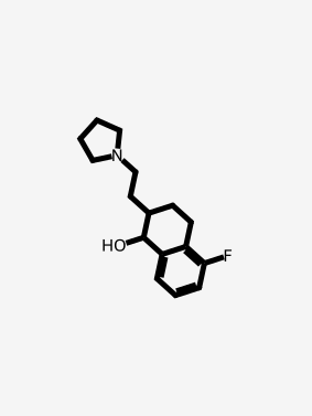 OC1c2cccc(F)c2CCC1CCN1CCCC1